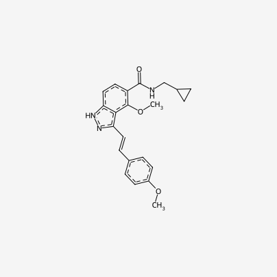 COc1ccc(C=Cc2n[nH]c3ccc(C(=O)NCC4CC4)c(OC)c23)cc1